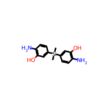 C[Si](C)(c1ccc(N)c(O)c1)c1ccc(N)c(O)c1